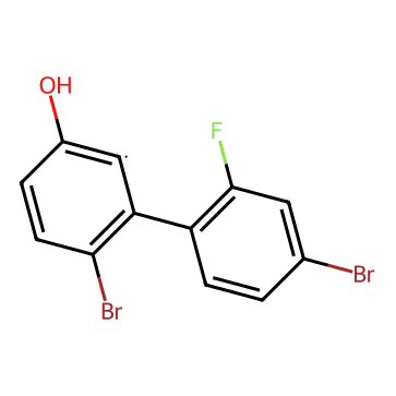 Oc1[c]c(-c2ccc(Br)cc2F)c(Br)cc1